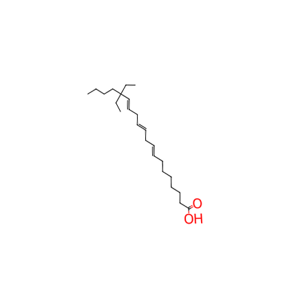 CCCCC(C=CCC=CCC=CCCCCCCC(=O)O)(CC)CC